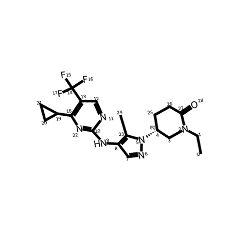 CCN1C[C@H](n2ncc(Nc3ncc(C(F)(F)F)c(C4CC4)n3)c2C)CCC1=O